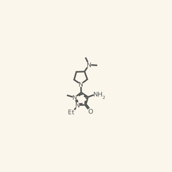 CCn1c(=O)c(N)c(N2CCC(N(C)C)C2)n1C